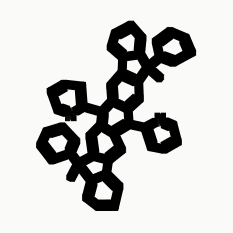 CC1(c2ccccc2)c2ccccc2-c2cc3c(-c4ccccn4)c4cc5c(cc4c(-c4ccccn4)c3cc21)-c1ccccc1C5(C)c1ccccc1